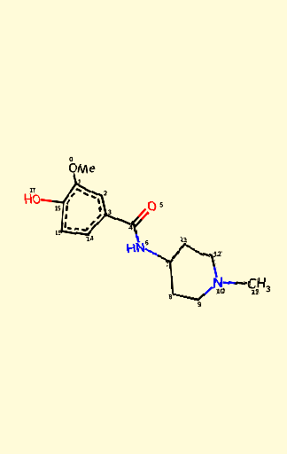 COc1cc(C(=O)NC2CCN(C)CC2)ccc1O